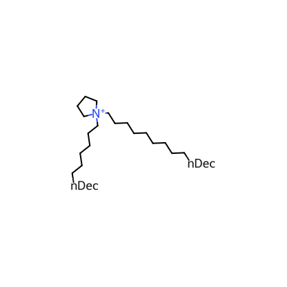 CCCCCCCCCCCCCCCCCCC[N+]1(CCCCCCCCCCCCCCCC)CCCC1